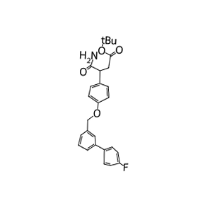 CC(C)(C)OC(=O)CC(C(N)=O)c1ccc(OCc2cccc(-c3ccc(F)cc3)c2)cc1